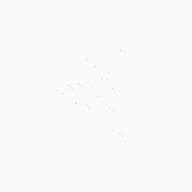 CN(C)C1CN(c2nc3c(F)c(Br)ccc3c(NC3C4CC3N(C(=O)OC(C)(C)C)C4)c2N)C1